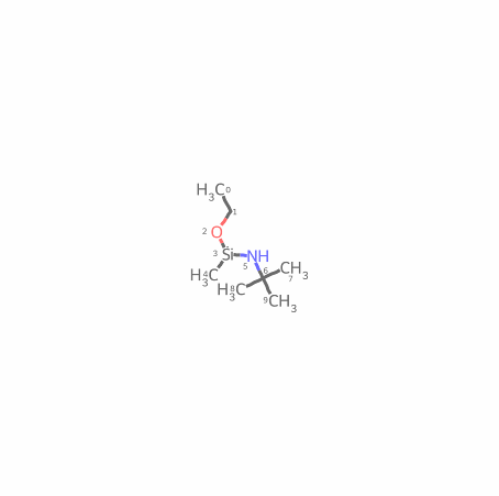 CCO[Si](C)NC(C)(C)C